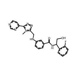 Cn1c(CNc2cccc(C(=O)NC(CO)c3ccccc3F)c2)nnc1-c1ccncn1